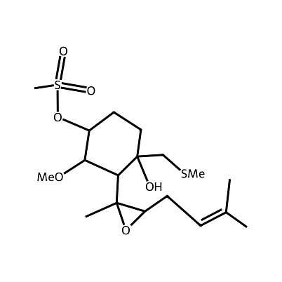 COC1C(OS(C)(=O)=O)CCC(O)(CSC)C1C1(C)OC1CC=C(C)C